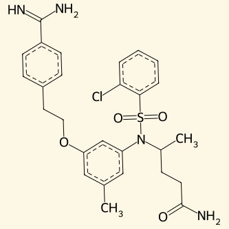 Cc1cc(OCCc2ccc(C(=N)N)cc2)cc(N(C(C)CCC(N)=O)S(=O)(=O)c2ccccc2Cl)c1